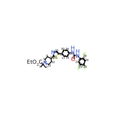 CCOC(=O)C(C)(C)N1CCC(c2ncc(-c3ccc(NC(=O)Nc4cc(F)c(F)cc4F)cc3)s2)CC1